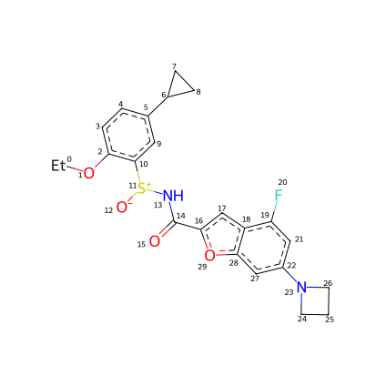 CCOc1ccc(C2CC2)cc1[S+]([O-])NC(=O)c1cc2c(F)cc(N3CCC3)cc2o1